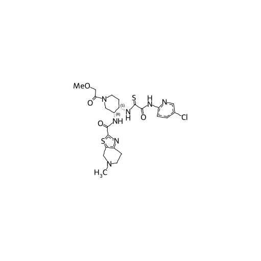 COCC(=O)N1CC[C@H](NC(=S)C(=O)Nc2ccc(Cl)cn2)[C@H](NC(=O)c2nc3c(s2)CN(C)CC3)C1